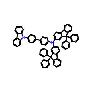 c1ccc(C2(c3ccccc3)c3ccccc3-c3ccc(N(c4ccc(-c5ccc(-n6c7ccccc7c7ccccc76)cc5)cc4)c4ccc5c(c4)C(c4ccccc4)(c4ccccc4)c4ccccc4-5)cc32)cc1